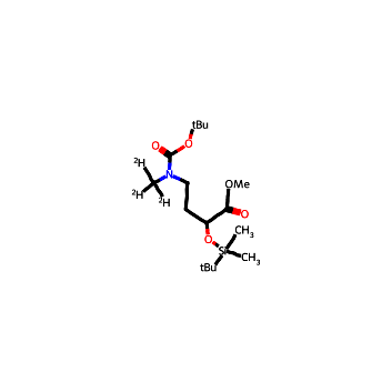 [2H]C([2H])([2H])N(CCC(O[Si](C)(C)C(C)(C)C)C(=O)OC)C(=O)OC(C)(C)C